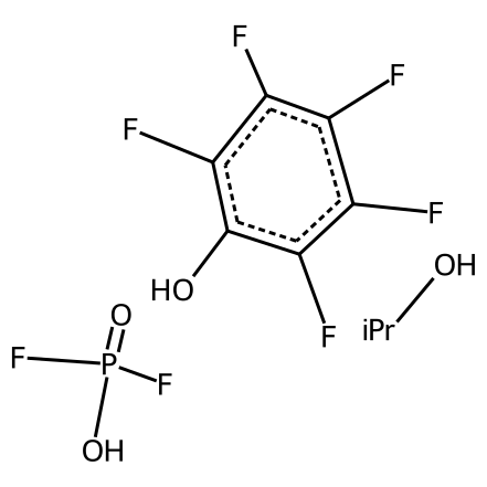 CC(C)O.O=P(O)(F)F.Oc1c(F)c(F)c(F)c(F)c1F